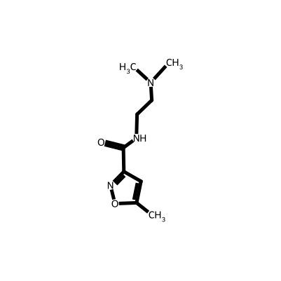 Cc1cc(C(=O)NCCN(C)C)no1